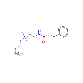 C[N+](C)(CCCS(=O)(=O)O)CCNC(=O)OCc1ccccc1